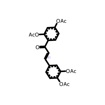 CC(=O)Oc1ccc(C(=O)/C=C/c2ccc(OC(C)=O)c(OC(C)=O)c2)c(OC(C)=O)c1